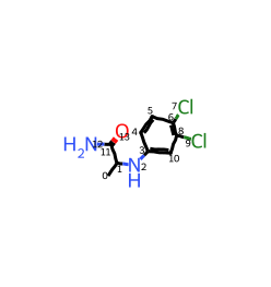 CC(Nc1ccc(Cl)c(Cl)c1)C(N)=O